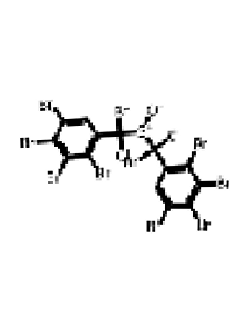 [O-][S+](C(Cl)(Br)c1cc(Br)c(Br)c(Br)c1Br)C(Cl)(Br)c1cc(Br)c(Br)c(Br)c1Br